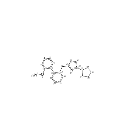 CCCOc1ccccc1-c1ccccc1Cc1ccn(C2CCCC2)n1